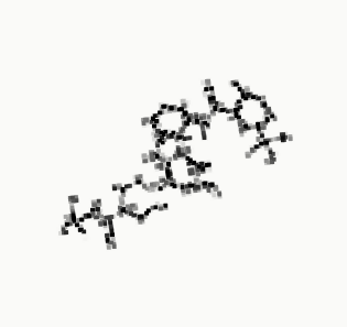 Cc1ccc(C(F)(F)F)cc1C(=O)Nc1cccc2nn3c(C4CCN(C(=O)OC(C)(C)C)CC4)cc(=O)[nH]c3c12